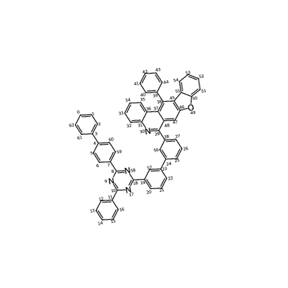 c1ccc(-c2ccc(-c3nc(-c4ccccc4)nc(-c4cccc(-c5cccc(-c6nc7ccccc7c7c(-c8ccccc8)c8c(cc67)oc6ccccc68)c5)c4)n3)cc2)cc1